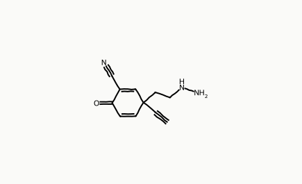 C#CC1(CCNN)C=CC(=O)C(C#N)=C1